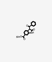 COC(=O)c1ccc2c(c1)NC(=O)C2C(=O)c1ccccc1